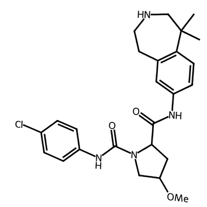 COC1CC(C(=O)Nc2ccc3c(c2)CCNCC3(C)C)N(C(=O)Nc2ccc(Cl)cc2)C1